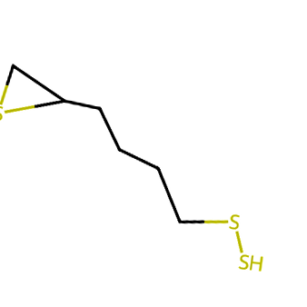 SSCCCCC1CS1